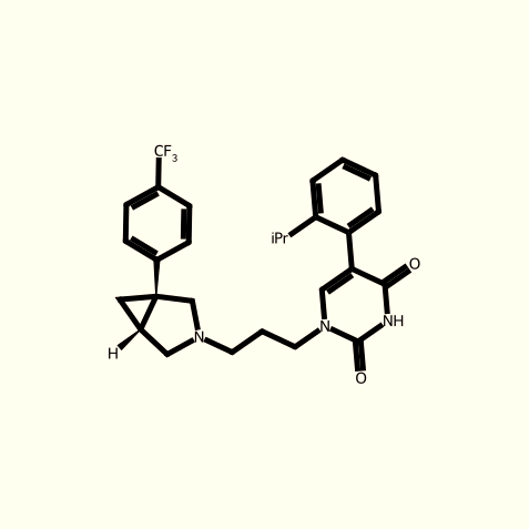 CC(C)c1ccccc1-c1cn(CCCN2C[C@@H]3C[C@]3(c3ccc(C(F)(F)F)cc3)C2)c(=O)[nH]c1=O